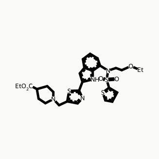 CCOCCN(c1cccc2cc(-c3ncc(CN4CCC(C(=O)OCC)CC4)s3)[nH]c12)S(=O)(=O)c1cccs1